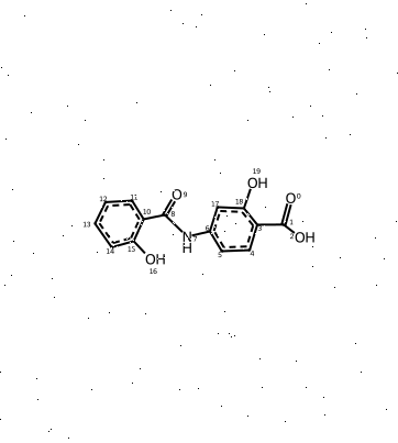 O=C(O)c1ccc(NC(=O)c2ccccc2O)cc1O